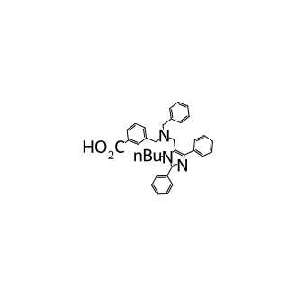 CCCCn1c(-c2ccccc2)nc(-c2ccccc2)c1CN(Cc1ccccc1)Cc1cccc(C(=O)O)c1